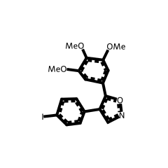 COc1cc(-c2oncc2-c2ccc(I)cc2)cc(OC)c1OC